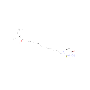 CC(C)CC(C)(C(=O)OCCCCCCCCCCCn1ccc(=O)[nH]c1=S)C(C)C